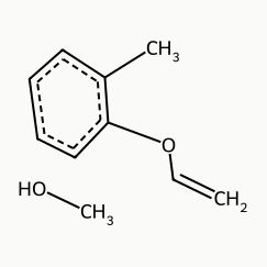 C=COc1ccccc1C.CO